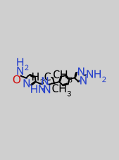 CC(C)C(C)(c1ccc(-c2cnc(N)nc2)cc1)c1n[nH]c(-c2ccc(C(N)=O)nc2)n1